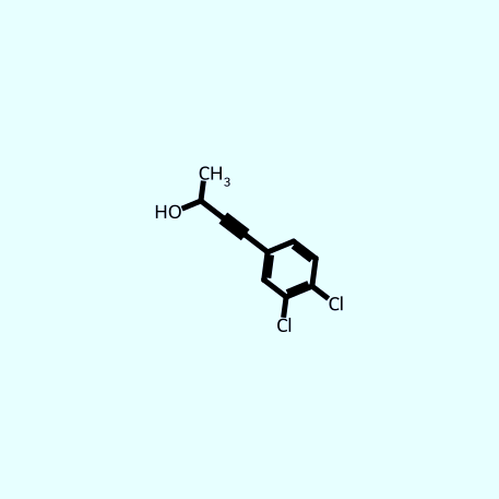 CC(O)C#Cc1ccc(Cl)c(Cl)c1